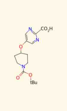 CC(C)(C)OC(=O)N1CCC(Oc2cnc(C(=O)O)nc2)CC1